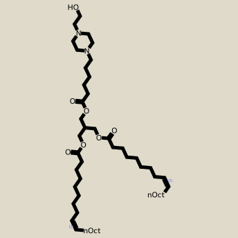 CCCCCCCC/C=C\CCCCCCCC(=O)OCC(COC(=O)CCCCCCC/C=C\CCCCCCCC)COC(=O)CCCCCN1CCN(CCO)CC1